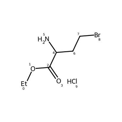 CCOC(=O)C(N)CCBr.Cl